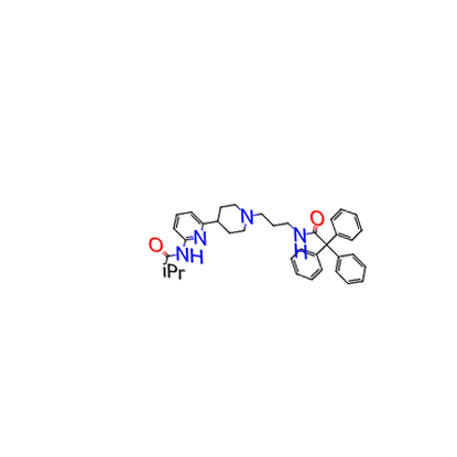 CC(C)C(=O)Nc1cccc(C2CCN(CCCNC(=O)C(c3ccccc3)(c3ccccc3)c3ccccc3)CC2)n1